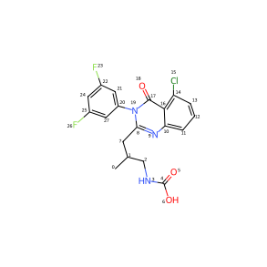 CC(CNC(=O)O)Cc1nc2cccc(Cl)c2c(=O)n1-c1cc(F)cc(F)c1